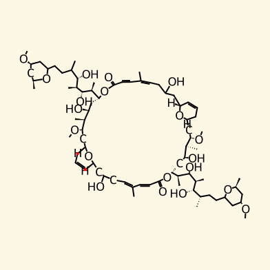 CO[C@@H]1CC(CC[C@H](C)[C@H](O)[C@H](C)[C@@H](O)[C@@H](C)[C@H]2C[C@H](O)[C@@H](C)[C@@H](OC)C[C@@H]3CC=C[C@@H](CC(O)C/C=C(C)/C=C/C(=O)O[C@@H]([C@H](C)[C@H](O)[C@@H](C)[C@@H](O)C(C)CCC4C[C@H](OC)C[C@H](C)O4)C[C@H](O)[C@H](C)[C@@H](OC)C[C@@H]4CC=C[C@H](CC(O)C/C=C(C)/C=C/C(=O)O2)O4)O3)O[C@@H](C)C1